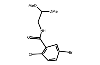 COC(CNC(=O)c1cc(Br)ccc1Cl)OC